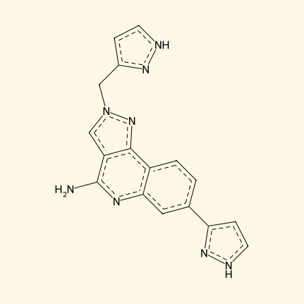 Nc1nc2cc(-c3cc[nH]n3)ccc2c2nn(Cc3cc[nH]n3)cc12